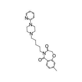 Cc1ccc2c(c1)OCC(=O)N(CCCCCN1CCN(c3ccccn3)CC1)C2=O